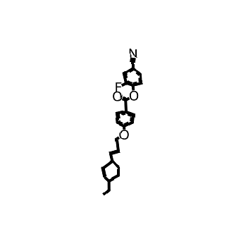 CCC1CCC(CCCOc2ccc(C(=O)Oc3ccc(C#N)cc3F)cc2)CC1